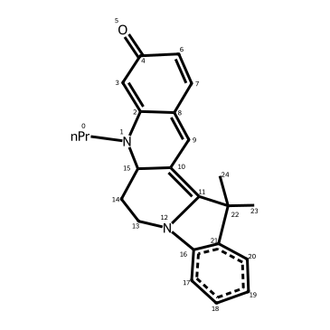 CCCN1C2=CC(=O)C=CC2=CC2=C3N(CCC21)c1ccccc1C3(C)C